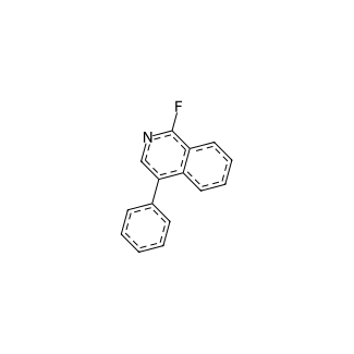 Fc1ncc(-c2ccccc2)c2ccccc12